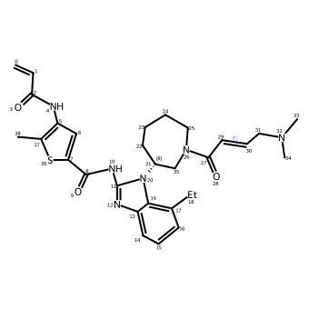 C=CC(=O)Nc1cc(C(=O)Nc2nc3cccc(CC)c3n2[C@@H]2CCCCN(C(=O)/C=C/CN(C)C)C2)sc1C